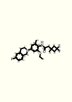 CCSc1cc(N2CCc3cc(F)ccc3C2)cc(C)c1NC(=O)CC1(C)CC(F)(F)C1